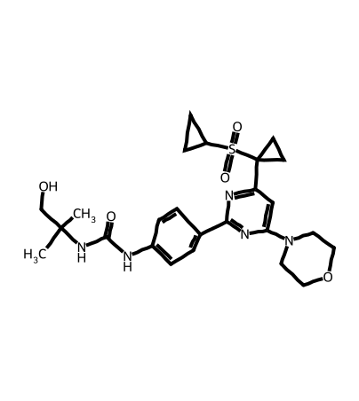 CC(C)(CO)NC(=O)Nc1ccc(-c2nc(N3CCOCC3)cc(C3(S(=O)(=O)C4CC4)CC3)n2)cc1